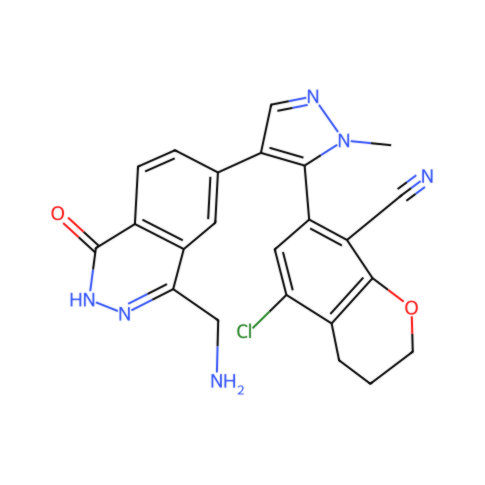 Cn1ncc(-c2ccc3c(=O)[nH]nc(CN)c3c2)c1-c1cc(Cl)c2c(c1C#N)OCCC2